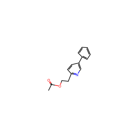 CC(=O)OCCc1ccc(-c2ccccc2)cn1